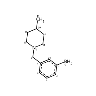 Bc1cccc(CN2CCC(C)CC2)c1